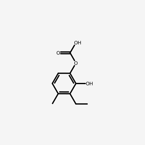 CCc1c(C)ccc(OC(=O)O)c1O